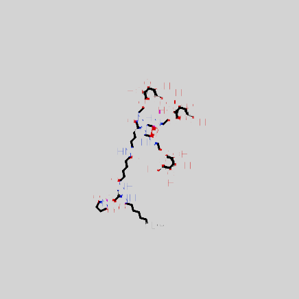 CCCCCCCCCCCCCCCC(=O)N[C@H](CNC(=O)CCCCC(=O)NCCCC[C@@H](C(=O)NCCO[C@H]1O[C@H](CO)[C@@H](O)[C@H](O)[C@@H]1O)N(CC(=O)NCCO[C@H]1O[C@H](CO)[C@@H](O)[C@H](O)[C@@H]1O)CC(=O)NCCO[C@H]1O[C@H](CO)[C@@H](O)[C@H](O)[C@@H]1O)C(=O)ON1C(=O)CCC1=O